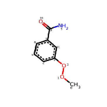 COOc1cccc(C(N)=O)c1